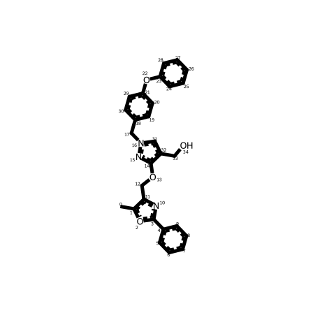 Cc1oc(-c2ccccc2)nc1COc1nn(Cc2ccc(Oc3ccccc3)cc2)cc1CO